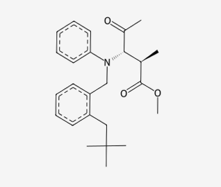 COC(=O)[C@H](C)[C@@H](C(C)=O)N(Cc1ccccc1CC(C)(C)C)c1ccccc1